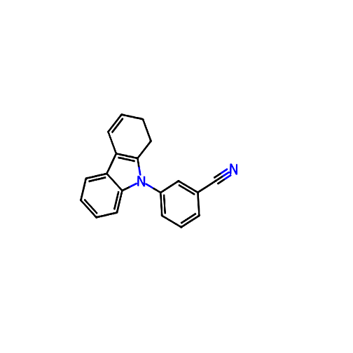 N#Cc1cccc(-n2c3c(c4ccccc42)C=CCC3)c1